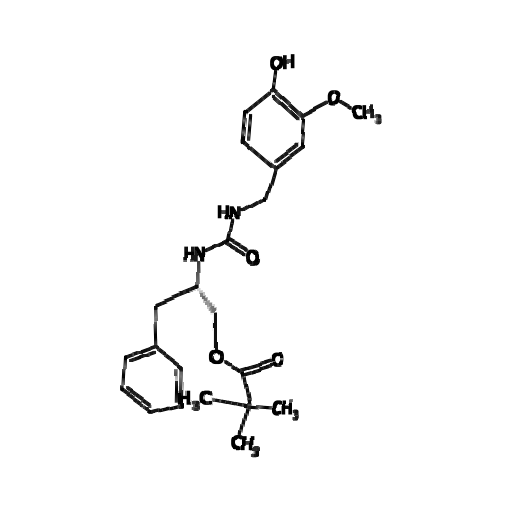 COc1cc(CNC(=O)N[C@H](COC(=O)C(C)(C)C)Cc2ccccc2)ccc1O